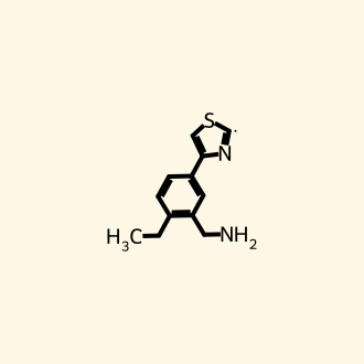 CCc1ccc(-c2cs[c]n2)cc1CN